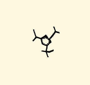 CC(C)c1cc(C(C)C)cc(C(C)(C)C)c1